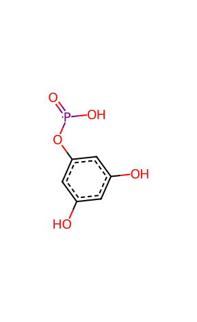 O=[P](O)Oc1cc(O)cc(O)c1